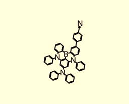 N#Cc1ccc(-c2ccc3c(c2)B2c4ccccc4N(c4ccccc4)c4cc(N(c5ccccc5)c5ccccc5)cc(c42)N3c2ccccc2)cc1